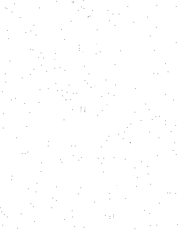 c1ccc(-c2nc(-n3c4ccccc4c4c5c(ccc43)oc3cc4ccccc4cc35)nc3ccccc23)cc1